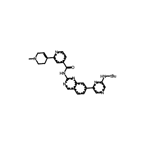 CN1CC=C(c2cc(C(=O)Nc3ncc4ccc(-c5cncc(NC(C)(C)C)n5)cc4n3)ccn2)CC1